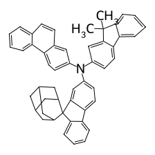 CC1(C)c2ccccc2-c2ccc(N(c3ccc4c(c3)C3(c5ccccc5-4)C4CC5CC(C4)CC3C5)c3ccc4c(ccc5ccccc54)c3)cc21